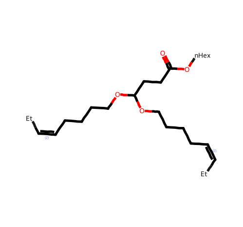 [CH2]CCCCCOC(=O)CCC(OCCCC/C=C\CC)OCCCC/C=C\CC